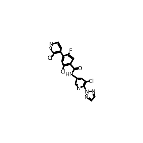 O=C(Nc1cnc(-n2nccn2)c(Cl)c1)c1cc(F)c(-c2ccnnc2Cl)cc1Cl